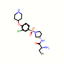 CC(C)C[C@H](N)C(=O)N[C@H]1CCN(S(=O)(=O)c2ccc(OC3CCNCC3)c(Br)c2)C1